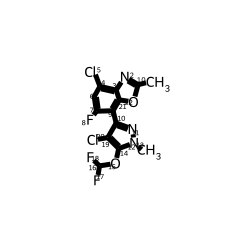 Cc1nc2c(Cl)cc(F)c(-c3nn(C)c(OC(F)F)c3Cl)c2o1